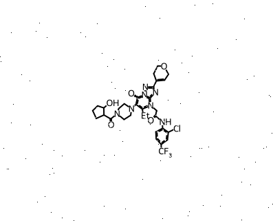 CCc1c(N2CCN(C(=O)C3CCCC3O)CC2)c(=O)n2nc(C3=CCOCC3)nc2n1CC(=O)Nc1ccc(C(F)(F)F)cc1Cl